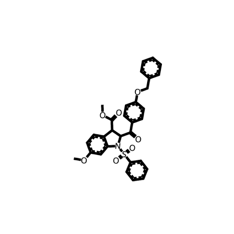 COC(=O)C1c2ccc(OC)cc2N(S(=O)(=O)c2ccccc2)C1C(=O)c1ccc(OCc2ccccc2)cc1